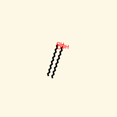 CCCCCCCCCCCCCCCC(=O)O.CCCCCCCCCCCCCCCCO